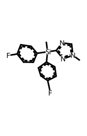 Cn1cnc([Si](C)(c2ccc(F)cc2)c2ccc(F)cc2)n1